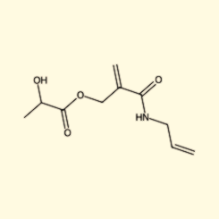 C=CCNC(=O)C(=C)COC(=O)C(C)O